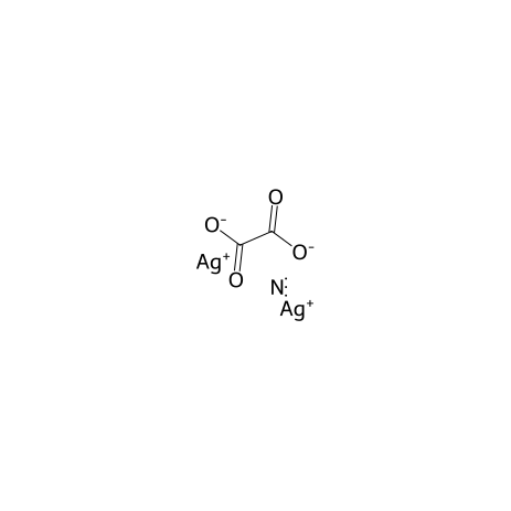 O=C([O-])C(=O)[O-].[Ag+].[Ag+].[N]